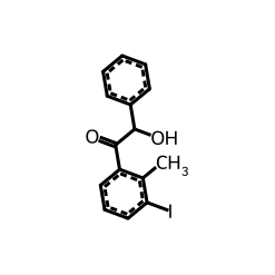 Cc1c(I)cccc1C(=O)C(O)c1ccccc1